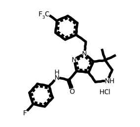 CC1(C)CNCc2c(C(=O)Nc3ccc(F)cc3)nn(Cc3ccc(C(F)(F)F)cc3)c21.Cl